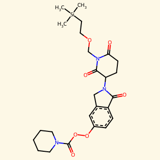 C[Si](C)(C)CCOCN1C(=O)CCC(N2Cc3cc(OOC(=O)N4CCCCC4)ccc3C2=O)C1=O